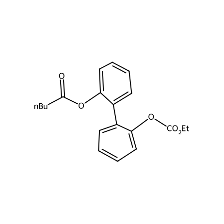 CCCCC(=O)Oc1ccccc1-c1ccccc1OC(=O)OCC